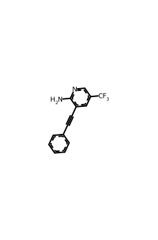 Nc1ncc(C(F)(F)F)cc1C#Cc1ccccc1